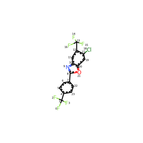 FC(F)(F)c1ccc(-c2nc3cc(C(F)(F)F)c(Cl)cc3o2)cc1